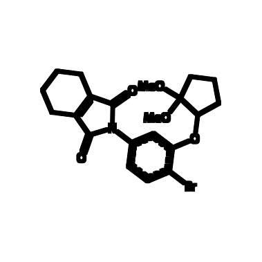 COC1(OC)CCCC1Oc1cc(N2C(=O)C3=C(CCCC3)C2=O)ccc1Br